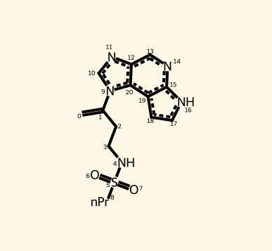 C=C(CCNS(=O)(=O)CCC)n1cnc2cnc3[nH]ccc3c21